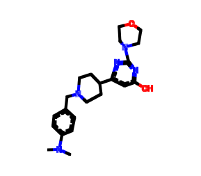 CN(C)c1ccc(CN2CCC(c3cc(O)nc(N4CCOCC4)n3)CC2)cc1